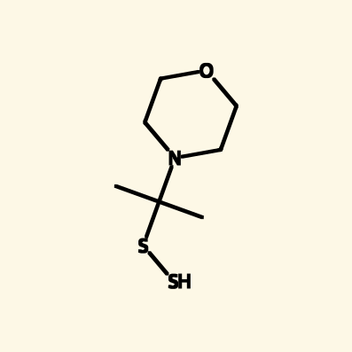 CC(C)(SS)N1CCOCC1